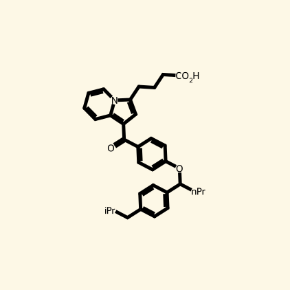 CCCC(Oc1ccc(C(=O)c2cc(CCCC(=O)O)n3ccccc23)cc1)c1ccc(CC(C)C)cc1